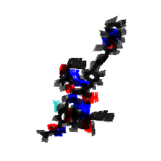 COC(=O)N[C@H](C(=O)N[C@@H](Cc1ccc(C#Cc2ccc(N3CC4CCC(C3)N4C3COC3)nc2)cc1)[C@@H](O)CN(Cc1c(F)cc(-c2nnc(C3CC3)o2)cc1F)NC(=O)[C@@H](NC(=O)OC)C(C)(C)C(F)(F)F)C(C)(C)C(F)(F)F